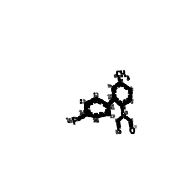 Cc1ccc(N(C=O)C=S)c(-c2ccc(F)cc2)c1